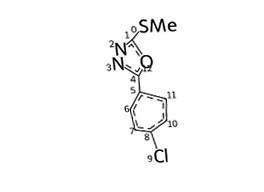 CSc1nnc(-c2ccc(Cl)cc2)o1